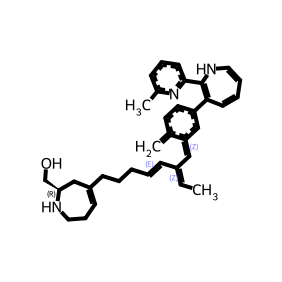 C=c1ccc(C2=C(c3cccc(C)n3)NC=CC=C2)c/c1=C/C(=C\C)/C=C/CCCC1=CCCN[C@@H](CO)C1